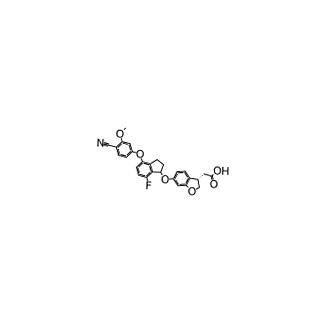 COc1cc(Oc2ccc(F)c3c2CC[C@H]3Oc2ccc3c(c2)OC[C@H]3CC(=O)O)ccc1C#N